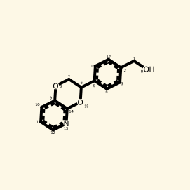 OCc1ccc(C2COc3cccnc3O2)cc1